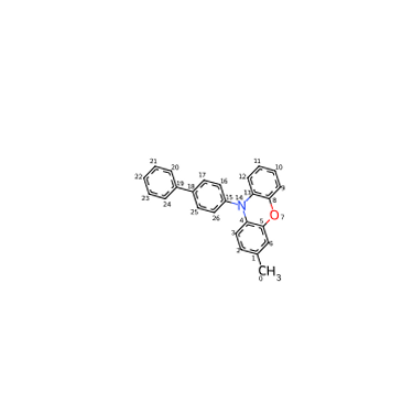 Cc1ccc2c(c1)Oc1ccccc1N2c1ccc(-c2ccccc2)cc1